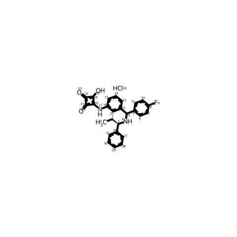 CC[C@@H](NC(c1ccc(F)cc1)c1cccc(Nc2c(O)c(=O)c2=O)c1)c1ccccc1.Cl